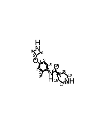 Cc1cc(OC2CNC2)ccc1NC(=O)N1CCNCC1